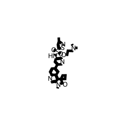 Cc1cc(S(=O)(=O)Nc2cc(-c3ccc4ncc5c(c4c3)C3(CCC3)C(=O)N5C)cnc2OCCCN(C)C)sn1